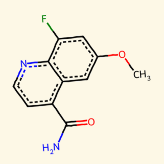 COc1cc(F)c2nccc(C(N)=O)c2c1